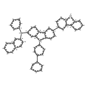 c1ccc(-c2ccc(-n3c4ccc(-c5ccc6oc7ccccc7c6c5)cc4c4ccc(N(c5ccccc5)c5ccc6ccccc6c5)cc43)cc2)cc1